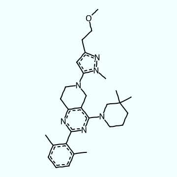 COCCc1cc(N2CCc3nc(-c4c(C)cccc4C)nc(N4CCCC(C)(C)C4)c3C2)n(C)n1